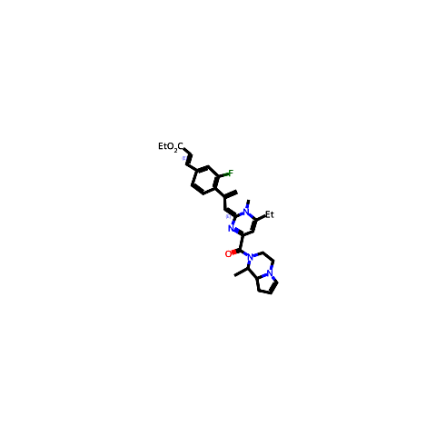 C=C(/C=C1/N=C(C(=O)N2CCN3C=CCC3C2C)C=C(CC)N1C)c1ccc(/C=C/C(=O)OCC)cc1F